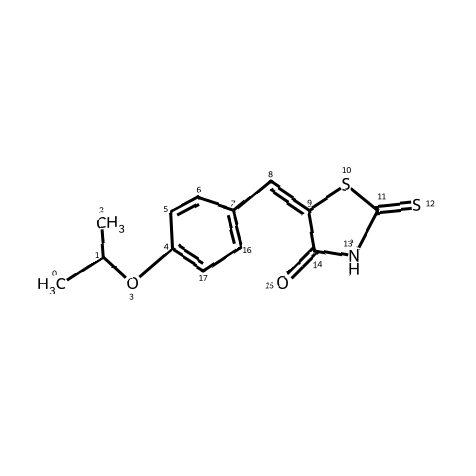 CC(C)Oc1ccc(C=C2SC(=S)NC2=O)cc1